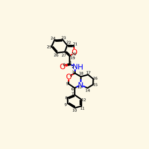 O=C(NC1OCC(c2ccccc2)N2CCCCC12)c1occ2ccccc12